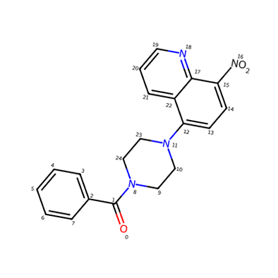 O=C(c1ccccc1)N1CCN(c2ccc([N+](=O)[O-])c3ncccc23)CC1